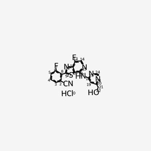 Cl.N#Cc1cccc(F)c1-c1nc2c(F)cnc(Nc3cc(CO)ncn3)c2s1